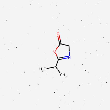 CC(C)C1=NCC(=O)O1